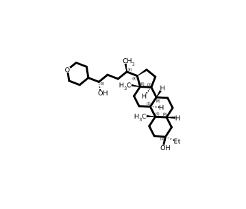 CC[C@]1(O)CC[C@@]2(C)[C@H](CC[C@@H]3[C@@H]2CC[C@]2(C)[C@@H]([C@H](C)CC[C@H](O)C4CCOCC4)CC[C@@H]32)C1